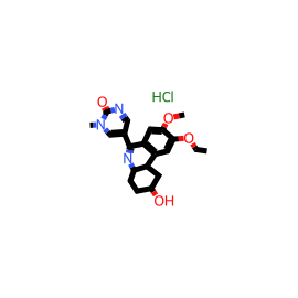 CCOc1cc2c(cc1OC)C(c1cnc(=O)n(C)c1)=NC1CCC(O)CC21.Cl